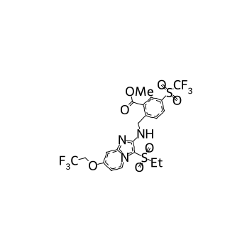 CCS(=O)(=O)c1c(NCc2ccc(S(=O)(=O)C(F)(F)F)cc2C(=O)OC)nc2cc(OCC(F)(F)F)ccn12